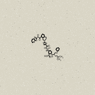 CN(C)CC[C@H](COc1ccccc1)Nc1ccc(S(=O)(=O)NC(=O)c2csc(N3CCc4cccc(C(=O)Nc5nc6cccnc6s5)c4C3)n2)cc1[N+](=O)O